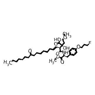 CCCCCCCC(=O)CCCCCCC=C[C@H](C(=O)N[C@@H](Cc1ccc(OCCCF)cc1)C(=O)OC)[C@@](O)(CCOC)C(=O)O